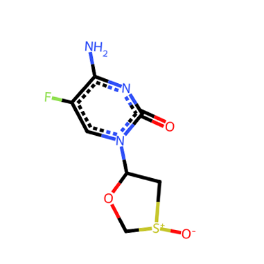 Nc1nc(=O)n(C2C[S+]([O-])CO2)cc1F